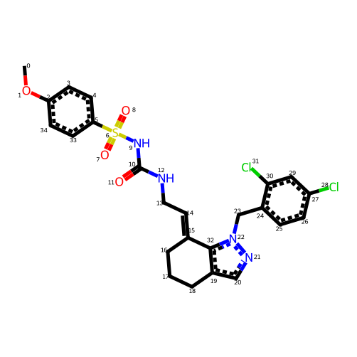 COc1ccc(S(=O)(=O)NC(=O)NC/C=C2\CCCc3cnn(Cc4ccc(Cl)cc4Cl)c32)cc1